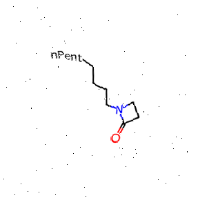 CCCCCCCCCN1CCC1=O